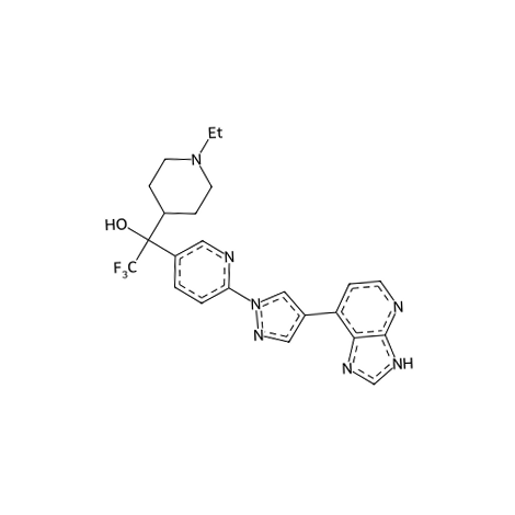 CCN1CCC(C(O)(c2ccc(-n3cc(-c4ccnc5[nH]cnc45)cn3)nc2)C(F)(F)F)CC1